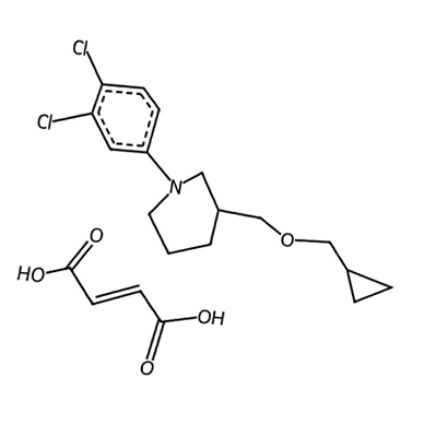 Clc1ccc(N2CCCC(COCC3CC3)C2)cc1Cl.O=C(O)C=CC(=O)O